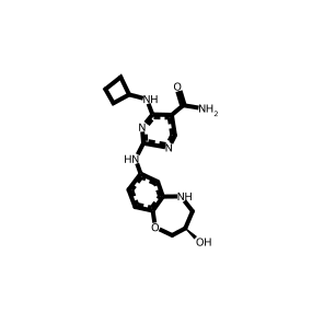 NC(=O)c1cnc(Nc2ccc3c(c2)NC[C@@H](O)CO3)nc1NC1CCC1